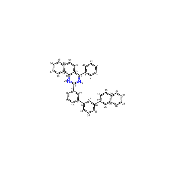 c1ccc(-c2nc(-c3cccc(-c4cccc(-c5ccc6ccccc6c5)c4)c3)nc3c2ccc2ccccc23)cc1